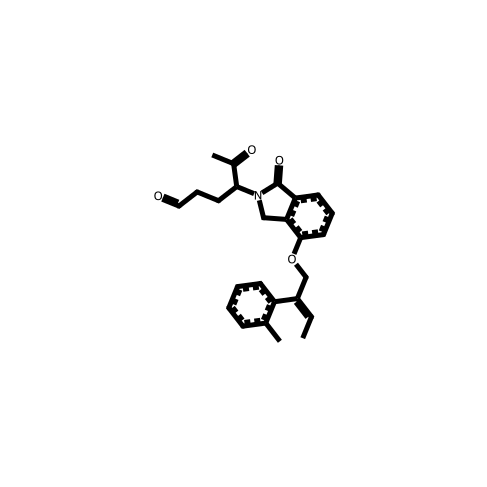 C/C=C(/COc1cccc2c1CN(C(CCC=O)C(C)=O)C2=O)c1ccccc1C